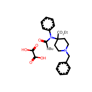 CCCCC(=O)N(c1ccccc1)C1(C(=O)OCC)CCN(Cc2ccccc2)CC1.O=C(O)C(=O)O